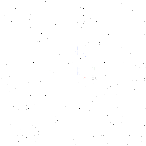 CCOC1(c2cc(F)cc3[nH]nc(Cl)c23)C2CCCC1CNC2